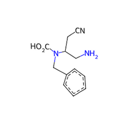 N#CCC(CN)N(Cc1ccccc1)C(=O)O